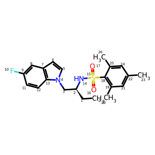 CC[C@@H](Cn1ccc2cc(F)ccc21)NS(=O)(=O)c1c(C)cc(C)cc1C